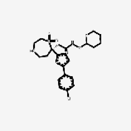 O=C(C[C@]1(c2ccc(-c3ccc(Cl)cc3)s2)CCNCCS1(=O)=O)NOC1CCCCO1